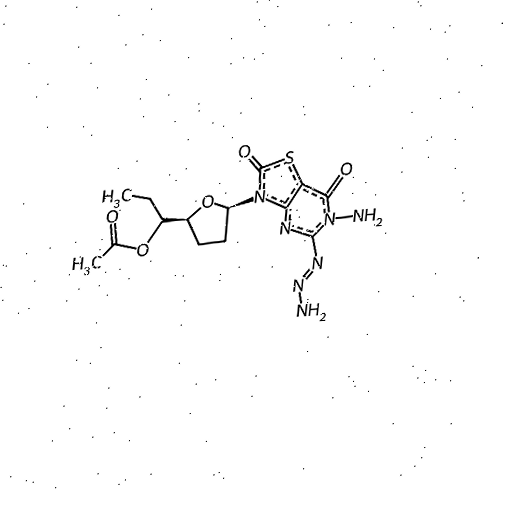 CCC(OC(C)=O)[C@@H]1CC[C@H](n2c(=O)sc3c(=O)n(N)c(N=NN)nc32)O1